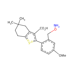 COc1ccc(-c2sc3c(c2C(=O)O)CC(C)(C)CC3)c(CON)c1